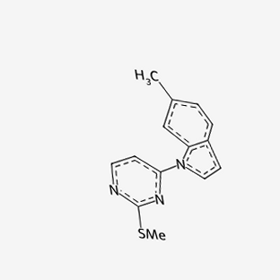 CSc1nccc(-n2ccc3ccc(C)cc32)n1